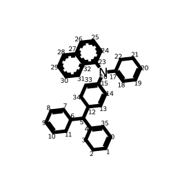 C1=CCCC(C(C2C=CC=CC2)C2C=CC(N(C3=CC=CCC3)c3cccc4ccccc34)=CC2)=C1